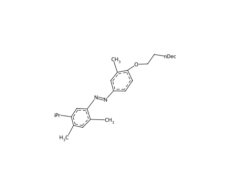 CCCCCCCCCCCCOc1ccc(N=Nc2cc(C(C)C)c(C)cc2C)cc1C